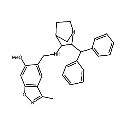 COc1cc2onc(C)c2cc1CNC1C2CCN(C2)C1C(c1ccccc1)c1ccccc1